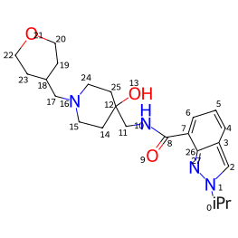 CC(C)n1cc2cccc(C(=O)NCC3(O)CCN(CC4CCOCC4)CC3)c2n1